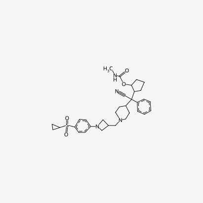 CNC(=O)OC1CCCC1C(C#N)(c1ccccc1)C1CCN(CC2CN(c3ccc(S(=O)(=O)C4CC4)cc3)C2)CC1